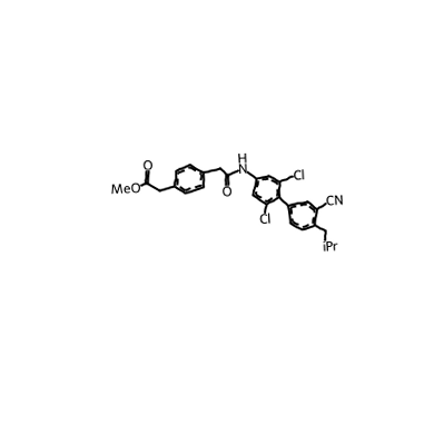 COC(=O)Cc1ccc(CC(=O)Nc2cc(Cl)c(-c3ccc(CC(C)C)c(C#N)c3)c(Cl)c2)cc1